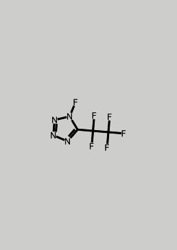 Fn1nnnc1C(F)(F)C(F)(F)F